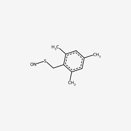 Cc1cc(C)c(CSN=O)c(C)c1